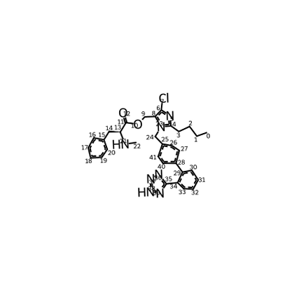 CCCCc1nc(Cl)c(COC(=O)[C@H](Cc2ccccc2)NC)n1Cc1ccc(-c2ccccc2-c2nn[nH]n2)cc1